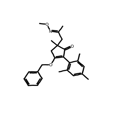 CON=C(C)CC1(C)CC(OCc2ccccc2)=C(c2c(C)cc(C)cc2C)C1=O